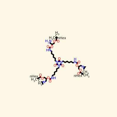 CCCCCCC(C)(C)C(=O)OCC(CN)OC(=O)NCCCCCCn1c(=O)n(CCCCCCNC(=O)OC(COC(=O)C(C)(C)CCCCCC)CN2CC2)c(=O)n(CCCCCCNC(=O)OC(COC(=O)C(C)(C)CCCCCC)CN2CC2)c1=O